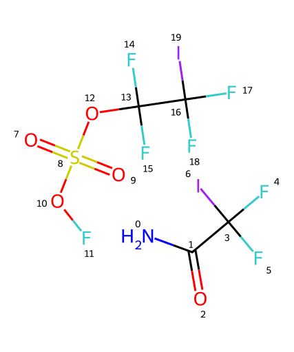 NC(=O)C(F)(F)I.O=S(=O)(OF)OC(F)(F)C(F)(F)I